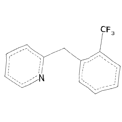 FC(F)(F)c1ccccc1Cc1ccccn1